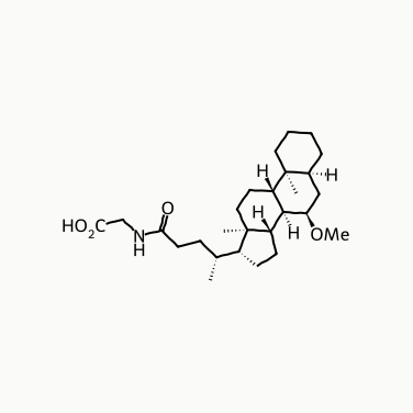 CO[C@@H]1C[C@@H]2CCCC[C@]2(C)[C@H]2CC[C@]3(C)[C@@H]([C@H](C)CCC(=O)NCC(=O)O)CC[C@H]3[C@H]12